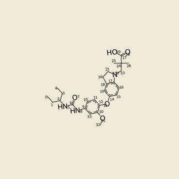 CCC(CC)NC(=O)Nc1ccc(Oc2ccc3c(c2)CCN3CC(C)(C)C(=O)O)c(OC)c1